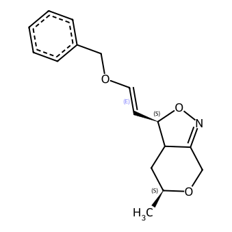 C[C@H]1CC2C(=NO[C@@H]2/C=C/OCc2ccccc2)CO1